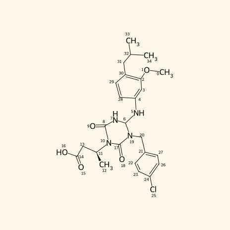 COc1cc(NC2NC(=O)N([C@@H](C)CC(=O)O)C(=O)N2Cc2ccc(Cl)cc2)ccc1CC(C)C